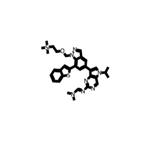 CC(C)n1cc(-c2cc(-c3cc4ccccc4s3)c3c(cnn3COCC[Si](C)(C)C)c2)c2nc(N=CN(C)C)ncc21